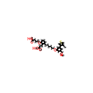 COCc1cc(OCCCCCCc2cccc(OCCCC(=O)O)c2CCC(=O)O)cc(-c2cscc2C)c1